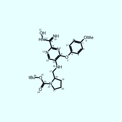 COc1ccc(Oc2nc(C(=N)NO)ncc2NCC2CCCN2C(=O)OC(C)(C)C)cc1